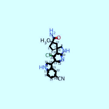 C[C@@]1(C(N)=O)CC[C@]2(CNc3ncc(-c4c[nH]c5ccc(C#N)cc45)c(Cl)c32)C1